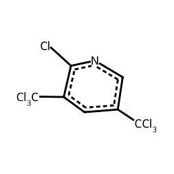 Clc1ncc(C(Cl)(Cl)Cl)cc1C(Cl)(Cl)Cl